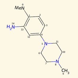 CNc1ccc(N2CCN(C)CC2)cc1N